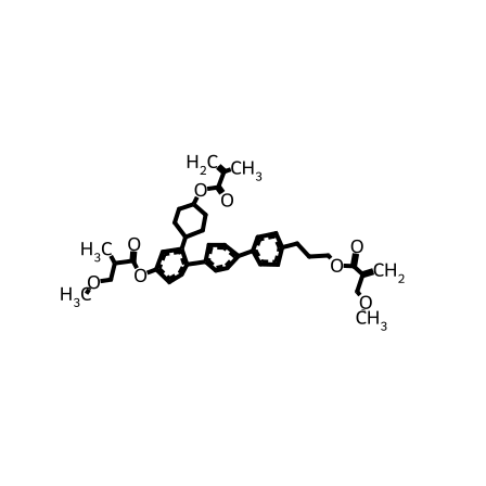 C=C(C)C(=O)OC1CCC(c2cc(OC(=O)C(C)COC)ccc2-c2ccc(-c3ccc(CCCOC(=O)C(=C)COC)cc3)cc2)CC1